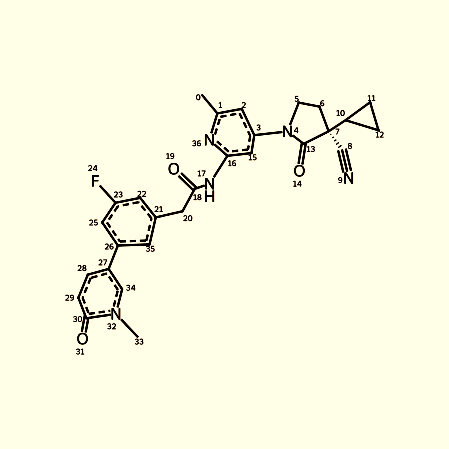 Cc1cc(N2CC[C@@](C#N)(C3CC3)C2=O)cc(NC(=O)Cc2cc(F)cc(-c3ccc(=O)n(C)c3)c2)n1